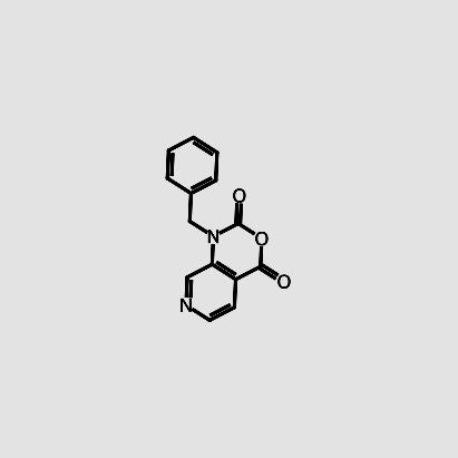 O=c1oc(=O)n(Cc2ccccc2)c2cnccc12